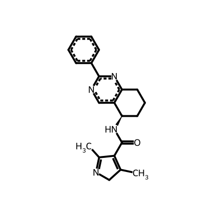 CC1=NCC(C)=C1C(=O)N[C@@H]1CCCc2nc(-c3ccccc3)ncc21